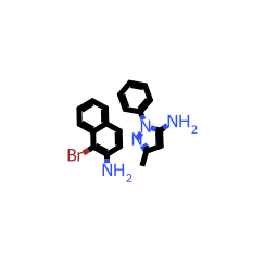 Cc1cc(N)n(-c2ccccc2)n1.Nc1ccc2ccccc2c1Br